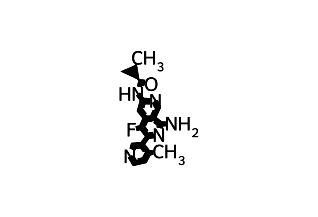 Cc1ccncc1-c1nc(N)c2cnc(NC(=O)[C@H]3C[C@@H]3C)cc2c1F